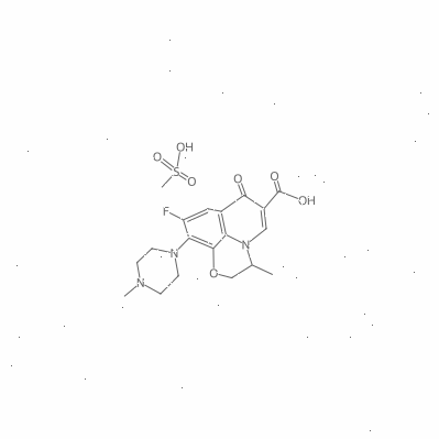 CC1COc2c(N3CCN(C)CC3)c(F)cc3c(=O)c(C(=O)O)cn1c23.CS(=O)(=O)O